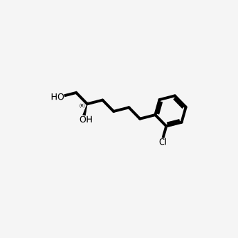 OC[C@H](O)CCCCc1ccccc1Cl